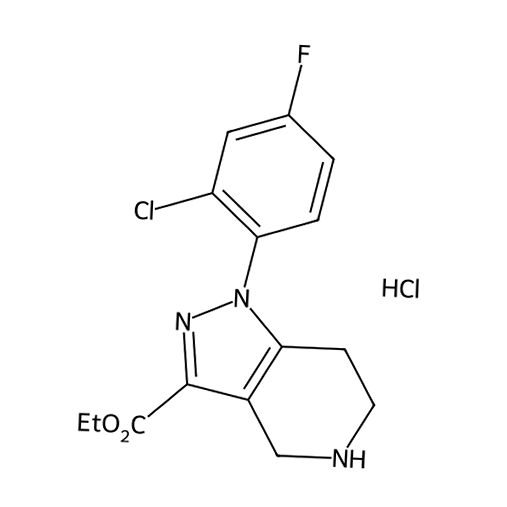 CCOC(=O)c1nn(-c2ccc(F)cc2Cl)c2c1CNCC2.Cl